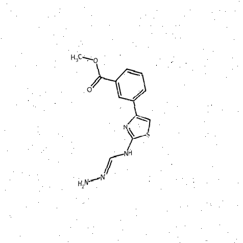 COC(=O)c1cccc(-c2csc(NC=NN)n2)c1